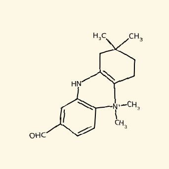 CC1(C)CCC2=C(C1)Nc1cc(C=O)ccc1[N+]2(C)C